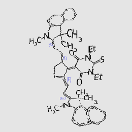 CCN1C(=O)C(=C2/C(=C/C=C3/N(C)c4ccc5ccccc5c4C3(C)C)CC/C2=C\C=C2\N(C)c3ccc4ccccc4c3C2(C)C)C(=O)N(CC)C1=S